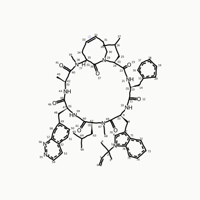 C=CC(C)(C)n1cc(C[C@@H]2NC(=O)[C@H](Cc3ccccc3)NC(=O)[C@H](CC(C)C)N3CC/C=C\C[C@@H](C3=O)N(C)C(=O)[C@H](C)NC(=O)[C@H](Cc3ccc4ccnnc4c3)NC(=O)[C@H](CC(C)C)N(C)C2=O)c2ccccc21